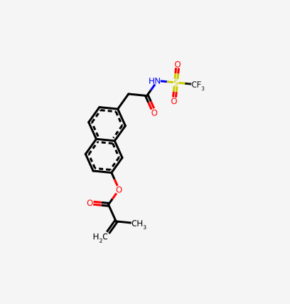 C=C(C)C(=O)Oc1ccc2ccc(CC(=O)NS(=O)(=O)C(F)(F)F)cc2c1